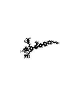 C=C(C)C(=O)OCCCc1cc(-c2ccc(-c3ccc(-c4ccc(C5CCC(CCCCC)CC5)cc4)cc3F)c(CC)c2)cc(CCCOC(=O)C(=C)C)c1OCC(C)(CO)CO